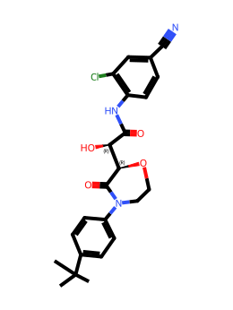 CC(C)(C)c1ccc(N2CCO[C@H]([C@@H](O)C(=O)Nc3ccc(C#N)cc3Cl)C2=O)cc1